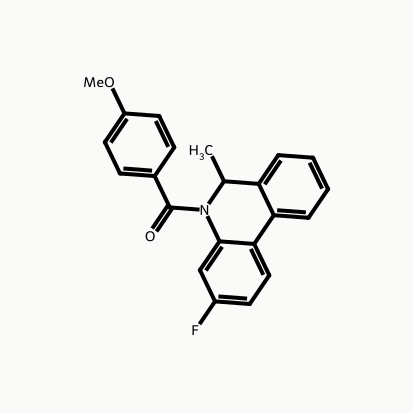 COc1ccc(C(=O)N2c3cc(F)ccc3-c3ccccc3C2C)cc1